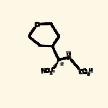 O=C(O)N[C@H](C(=O)O)C1CCOCC1